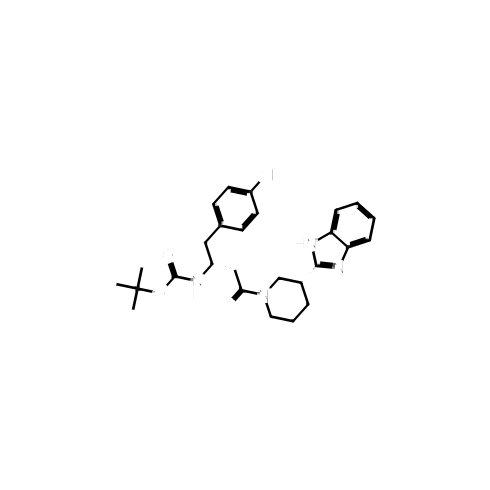 CC(C)(C)OC(=O)N[C@@H](CC(=O)N1CCC[C@@H](c2nc3ccccc3[nH]2)C1)Cc1ccc(Cl)cc1